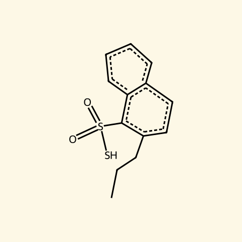 CCCc1ccc2ccccc2c1S(=O)(=O)S